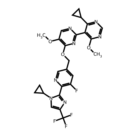 COc1cnc(-c2c(OC)ncnc2C2CC2)nc1OCc1cnc(-c2nc(C(F)(F)F)cn2C2CC2)c(F)c1